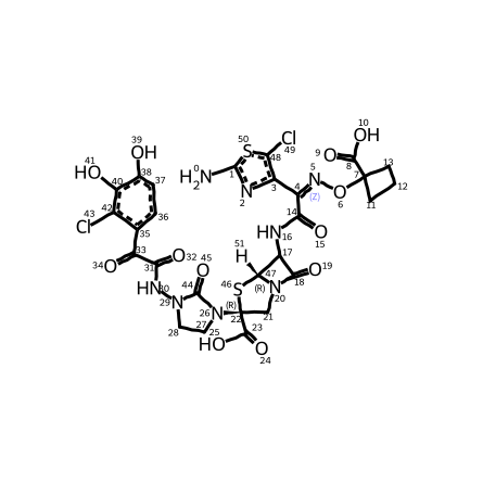 Nc1nc(/C(=N/OC2(C(=O)O)CCC2)C(=O)NC2C(=O)N3C[C@@](C(=O)O)(N4CCN(NC(=O)C(=O)c5ccc(O)c(O)c5Cl)C4=O)S[C@H]23)c(Cl)s1